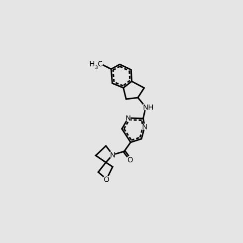 Cc1ccc2c(c1)CC(Nc1ncc(C(=O)N3CCC34COC4)cn1)C2